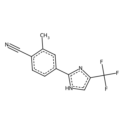 Cc1cc(-c2nc(C(F)(F)F)c[nH]2)ccc1C#N